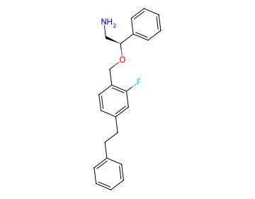 NC[C@H](OCc1ccc(CCc2ccccc2)cc1F)c1ccccc1